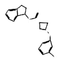 O=C(NC1CCc2ccccc21)[C@H]1C[C@H](Oc2cccc(Cl)c2)C1